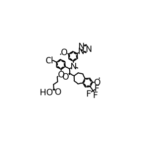 COc1cc(N(C)C(C(=O)C2CCc3cc(OC)c(C(F)(F)F)cc3CC2)c2ccc(Cl)cc2OCCCC(=O)O)cc(-n2cncn2)c1